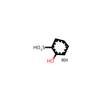 O=S(=O)(O)c1ccccc1O.[KH]